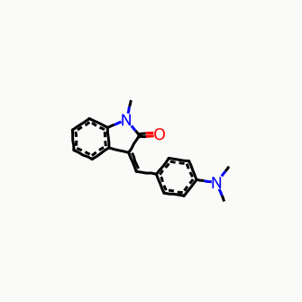 CN(C)c1ccc(C=C2C(=O)N(C)c3ccccc32)cc1